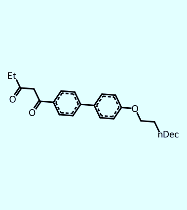 CCCCCCCCCCCCOc1ccc(-c2ccc(C(=O)CC(=O)CC)cc2)cc1